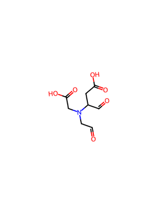 O=CCN(CC(=O)O)C(C=O)CC(=O)O